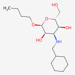 CCCCO[C@H]1O[C@H](CO)[C@@H](O)[C@@H](NCC2CCCCC2)[C@H]1O